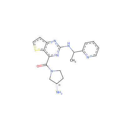 CC(Nc1nc(C(=O)N2CC[C@H](N)C2)c2sccc2n1)c1ccccn1